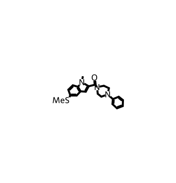 CSc1ccc2c(c1)cc(C(=O)N1CCN(c3ccccc3)CC1)n2C